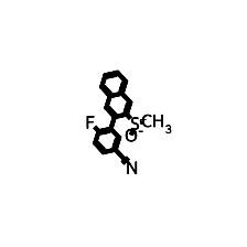 C[S+]([O-])c1cc2ccccc2cc1-c1cc(C#N)ccc1F